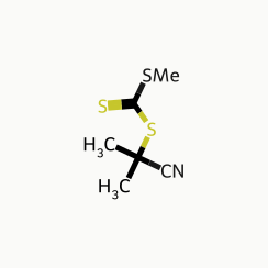 CSC(=S)SC(C)(C)C#N